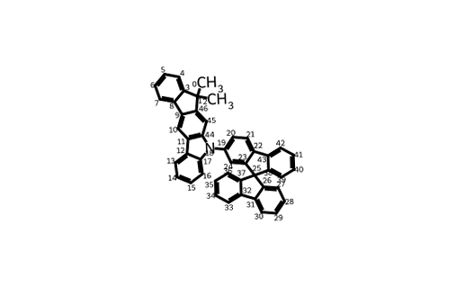 CC1(C)c2ccccc2-c2cc3c4ccccc4n(-c4ccc5c(c4)C4(c6ccccc6-c6ccccc64)c4ccccc4-5)c3cc21